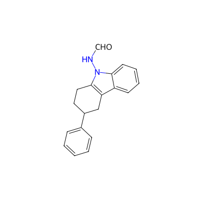 O=CNn1c2c(c3ccccc31)CC(c1ccccc1)CC2